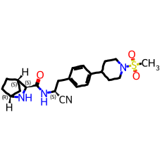 CS(=O)(=O)N1CCC(c2ccc(C[C@@H](C#N)NC(=O)[C@H]3N[C@@H]4CC[C@H]3C4)cc2)CC1